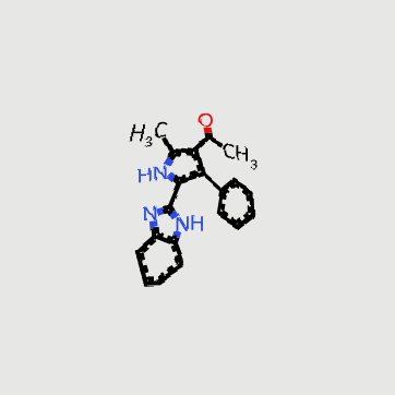 CC(=O)c1c(C)[nH]c(-c2nc3ccccc3[nH]2)c1-c1ccccc1